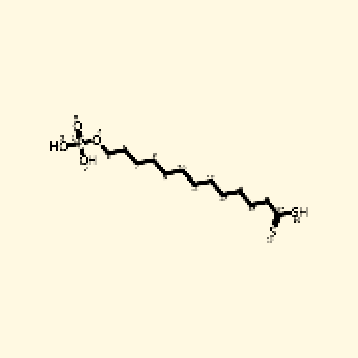 O=P(O)(O)OCCCCCCCCCCCCC(=S)S